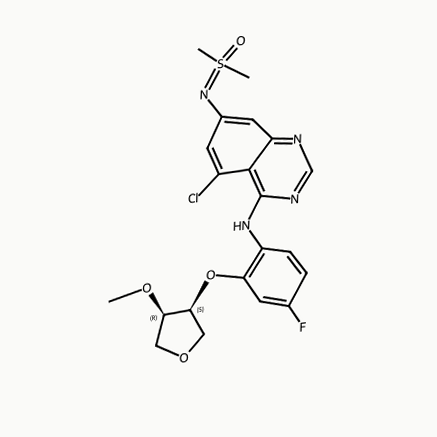 CO[C@@H]1COC[C@@H]1Oc1cc(F)ccc1Nc1ncnc2cc(N=S(C)(C)=O)cc(Cl)c12